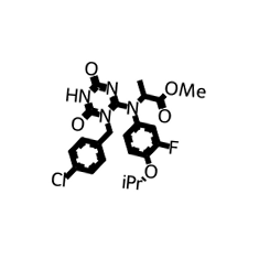 COC(=O)C(C)N(c1ccc(OC(C)C)c(F)c1)c1nc(=O)[nH]c(=O)n1Cc1ccc(Cl)cc1